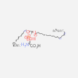 CCCCC/C=C\C/C=C\CCCCCCCCCCCC(=O)O[C@H](CO/C=C\CCCCCCCCCCCCCCCCCC)COP(=O)(O)OC[C@H](N)C(=O)O